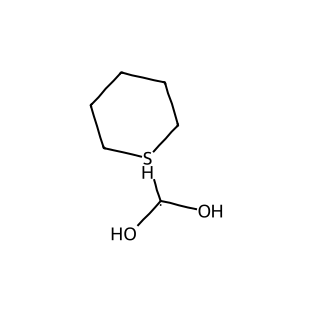 O[C](O)[SH]1CCCCC1